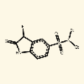 CCN(CC)S(=O)(=O)c1ccc2c(c1)C(F)C(=O)N2